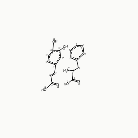 NC(Cc1ccccc1)C(=O)O.O=C(O)C=Cc1ccc(O)c(O)c1